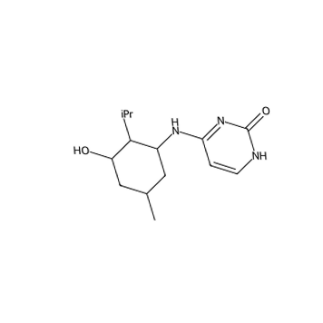 CC1CC(O)C(C(C)C)C(Nc2cc[nH]c(=O)n2)C1